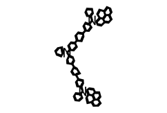 c1ccc(N(c2ccc(-c3ccc(-c4ccc(N(c5ccccc5)c5ccc6ccc7cccc8ccc5c6c78)cc4)cc3)cc2)c2ccc(-c3ccc(-c4ccc(N(c5ccccc5)c5ccc6ccc7cccc8ccc5c6c78)cc4)cc3)cc2)cc1